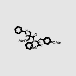 CNC(=O)[C@H](Cc1ccc(OC)cc1)N(C(=O)C(COC)(CC(C)C)SCc1ccccc1)c1ccccc1